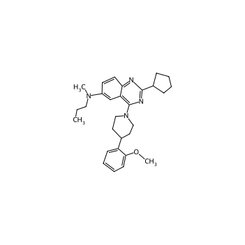 CCCN(C)c1ccc2nc(C3CCCC3)nc(N3CCC(c4ccccc4OC)CC3)c2c1